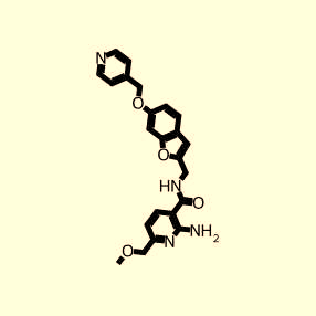 COCc1ccc(C(=O)NCc2cc3ccc(OCc4ccncc4)cc3o2)c(N)n1